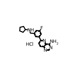 Cl.Nc1ncnc2ccc(-c3cc(F)cc(CNC4CCCC4)c3)nc12